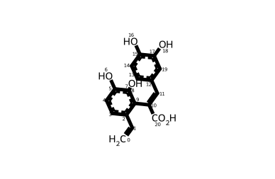 C=Cc1ccc(O)c(O)c1/C(=C\c1ccc(O)c(O)c1)C(=O)O